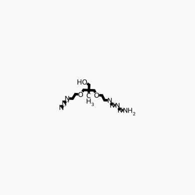 CC(CO)(COCCN=[N+]=[N-])COCC/N=N/N=N/N